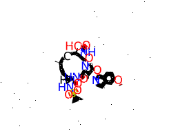 COc1ccc2c(O[C@@H]3C[C@H]4C(=O)N[C@]5(C(=O)NS(=O)(=O)C6CC6)C[C@H]5/C=C\[C@H](C)CCC[C@@H](C)[C@H](NC(=O)O)C(=O)N4C3)nccc2c1